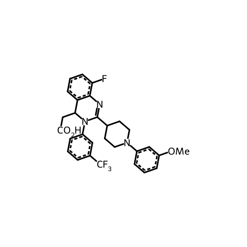 COc1cccc(N2CCC(C3=Nc4c(F)cccc4C(CC(=O)O)N3c3cccc(C(F)(F)F)c3)CC2)c1